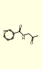 CC(=O)CNC(=O)c1cccnc1